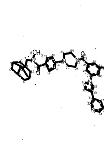 CN(CC12CC3CC(CC(C3)C1)C2)C(=O)c1ccc(N2CCN(C(=O)c3cc(-n4cc(-c5cncc(O)c5)cn4)cc(C(F)(F)F)c3)CC2)cc1